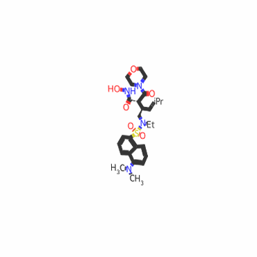 CCN(C[C@H](CC(C)C)[C@H](C(=O)NO)C(=O)N1CCOCC1)S(=O)(=O)c1cccc2c(N(C)C)cccc12